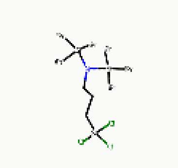 CC(C)[Si](C(C)C)(C(C)C)N(CCC[Si](Cl)(Cl)Cl)[Si](C(C)C)(C(C)C)C(C)C